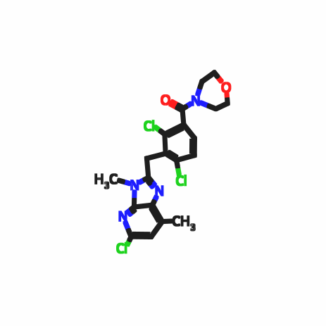 Cc1cc(Cl)nc2c1nc(Cc1c(Cl)ccc(C(=O)N3CCOCC3)c1Cl)n2C